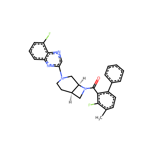 Cc1ccc(-c2ccccc2)c(C(=O)N2C[C@H]3CCN(c4cnc5c(F)cccc5n4)C[C@H]32)c1F